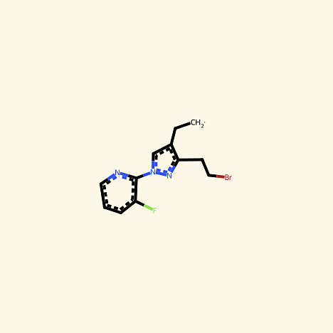 [CH2]Cc1cn(-c2ncccc2F)nc1CCBr